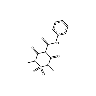 CN1C(=O)C(C(=O)Nc2ccccc2)C(=O)N(C)S1(=O)=O